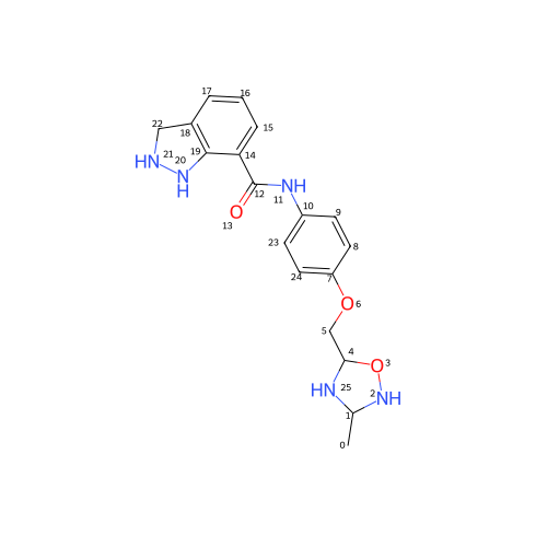 CC1NOC(COc2ccc(NC(=O)c3cccc4c3NNC4)cc2)N1